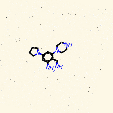 N=Cc1c(N)cc(N2CCCC2)cc1N1CCNCC1